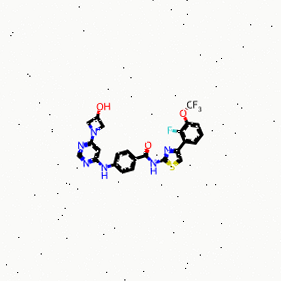 O=C(Nc1nc(-c2cccc(OC(F)(F)F)c2F)cs1)c1ccc(Nc2cc(N3CC(O)C3)ncn2)cc1